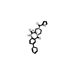 O=C1Nc2ccc(C3C=CC=CC3)cc2C(=O)N2CCN(C(=O)c3cccs3)C[C@H]12